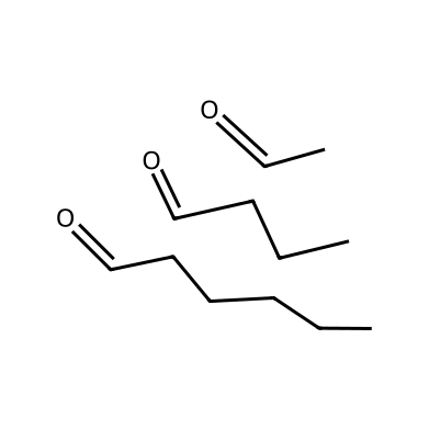 CC=O.CCCC=O.CCCCCC=O